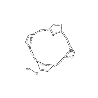 C1=Cc2cc3ccc(cc4nc(cc5ccc(cc1n2)[nH]5)C=C4)[nH]3.[Cl][Mn]